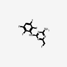 Nc1nc(CF)nc(Nc2c(F)c(F)cc(F)c2F)n1